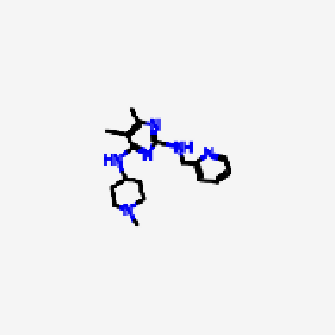 Cc1nc(NCc2ccccn2)nc(NC2CCN(C)CC2)c1C